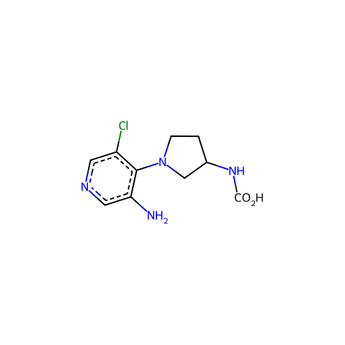 Nc1cncc(Cl)c1N1CCC(NC(=O)O)C1